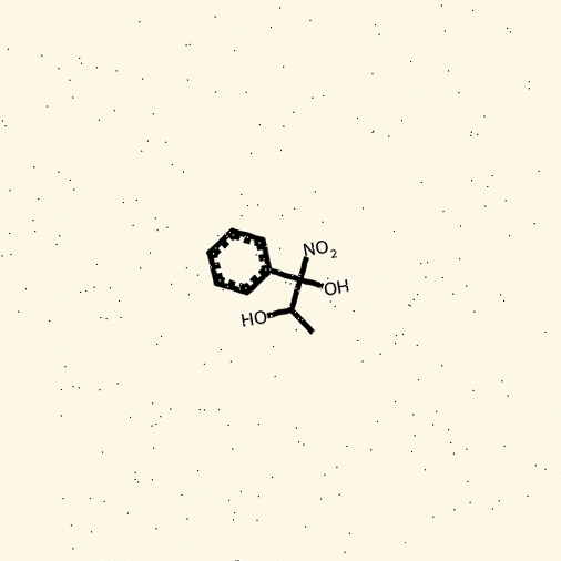 CC(O)C(O)(c1ccccc1)[N+](=O)[O-]